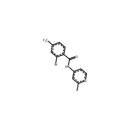 Cc1cc(NC(=O)c2ccc(C(F)(F)F)cc2Br)ccn1